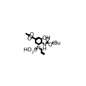 C=CCN(C(=O)O)[C@@H]1CC(C2OC(C)O2)=C[C@H](O)[C@H]1NC(=O)OC(C)(C)C